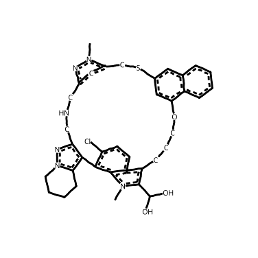 Cn1nc2cc1CSc1cc(c3ccccc3c1)OCCCc1c(C(O)O)n(C)c3c(c(Cl)ccc13)-c1c(nn3c1CCCC3)CNC2